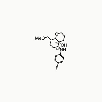 COCC1CC[C@H](Nc2ccc(F)cc2)[C@]2(O)CCCOC12